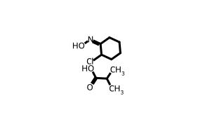 CC(C)C(=O)O.O/N=C1/CCCCC1Cl